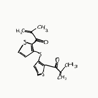 C=C(C)C(=O)c1sccc1Sc1ccsc1C(=O)C(=C)C